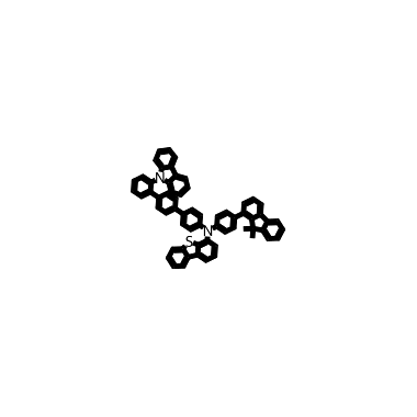 CC1(C)c2ccccc2-c2cccc(-c3ccc(N(c4ccc(-c5ccc(-c6ccccc6-n6c7ccccc7c7ccccc76)cc5)cc4)c4cccc5c4sc4ccccc45)cc3)c21